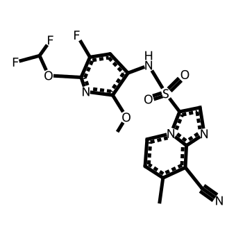 COc1nc(OC(F)F)c(F)cc1NS(=O)(=O)c1cnc2c(C#N)c(C)ccn12